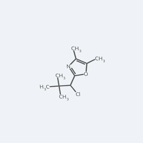 Cc1nc(C(Cl)C(C)(C)C)oc1C